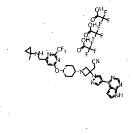 CC1(NCc2cc(O[C@H]3CC[C@@H](N4CC(CC#N)(n5cc(-c6ncnc7[nH]ccc67)cn5)C4)CC3)nc(C(F)(F)F)n2)CC1.O=C(O)C(F)(F)F.O=C(O)C(F)(F)F.O=C(O)C(F)(F)F